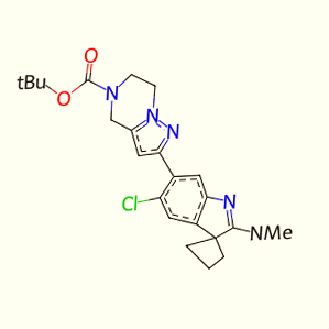 CNC1=Nc2cc(-c3cc4n(n3)CCN(C(=O)OC(C)(C)C)C4)c(Cl)cc2C12CCC2